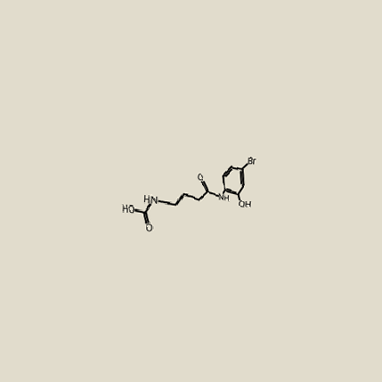 O=C(O)NCCCC(=O)Nc1ccc(Br)cc1O